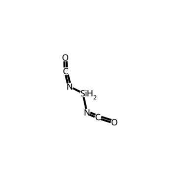 O=C=N[SiH2]N=C=O